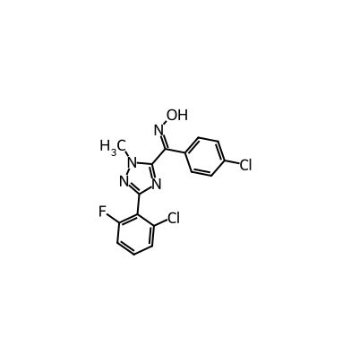 Cn1nc(-c2c(F)cccc2Cl)nc1C(=NO)c1ccc(Cl)cc1